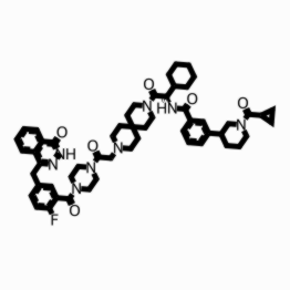 O=C(N[C@@H](C(=O)N1CCC2(CCN(CC(=O)N3CCN(C(=O)c4cc(Cc5n[nH]c(=O)c6ccccc56)ccc4F)CC3)CC2)CC1)C1CCCCC1)c1cccc(C2CCCN(C(=O)C3CC3)C2)c1